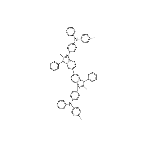 Cc1ccc(N(c2ccccc2)c2ccc(-n3c(C)c(-c4ccccc4)c4cc(-c5ccc6c(c5)c(-c5ccccc5)c(C)n6-c5ccc(N(c6ccccc6)c6ccc(C)cc6)cc5)ccc43)cc2)cc1